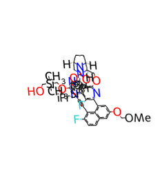 COCOc1cc(-c2nc3c4c(nc(OC[Si](C)(C)CO)nc4c2F)N2C[C@H]4CC[C@@H]([C@H]2CO3)N4C(=O)OC(C)(C)C)c2c(C#C[Si](C(C)C)(C(C)C)C(C)C)c(F)ccc2c1